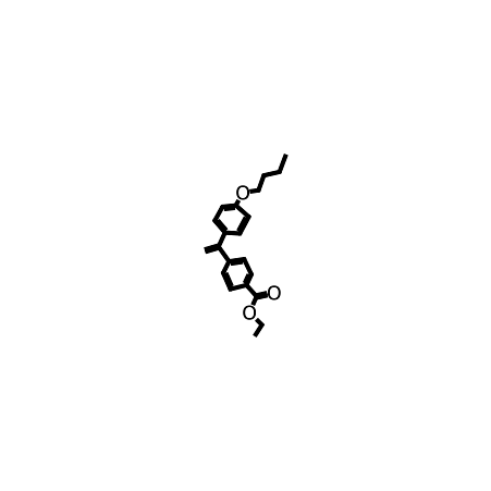 C=C(c1ccc(OCCCC)cc1)c1ccc(C(=O)OCC)cc1